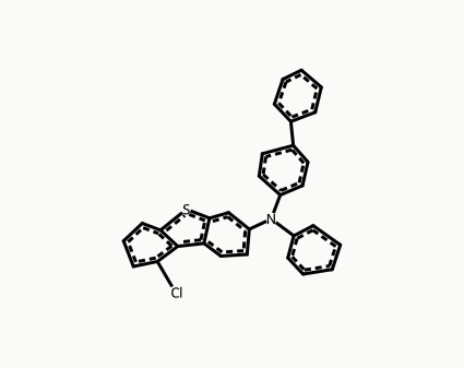 Clc1cccc2sc3cc(N(c4ccccc4)c4ccc(-c5ccccc5)cc4)ccc3c12